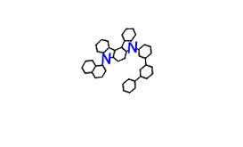 C1CCC(C2CCCC(C3CCCC(N4C5CCCCC5C5C6C7CCCCC7N(C7CCCC8CCCCC87)C6CCC54)C3)C2)CC1